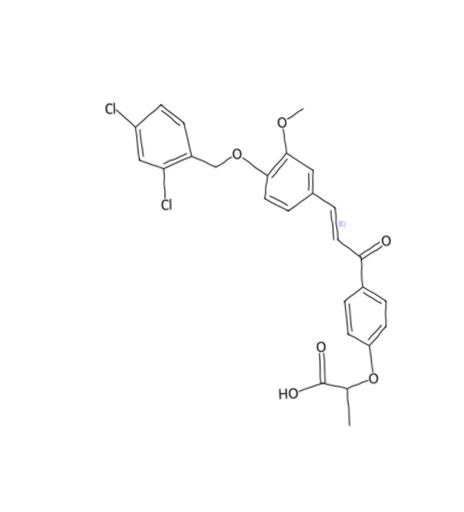 COc1cc(/C=C/C(=O)c2ccc(OC(C)C(=O)O)cc2)ccc1OCc1ccc(Cl)cc1Cl